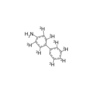 [2H]c1cc(-c2c([2H])c([2H])c(N)c([2H])c2[2H])c([2H])c([2H])c1[2H]